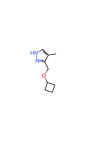 Cc1c[nH]nc1COC1CCC1